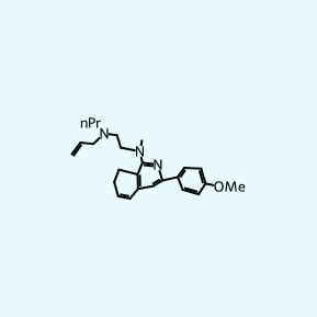 C=CCN(CCC)CCN(C)c1nc(-c2ccc(OC)cc2)cc2c1CCC=C2